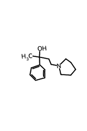 CC(O)(CCN1CCCCC1)c1ccccc1